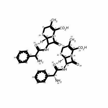 CC1=C(C(=O)O)N2C(=O)C(NC(=O)C(N)c3ccccc3)[C@@H]2SC1.CC1=C(C(=O)O)N2C(=O)[C@@H](NC(=O)[C@H](N)c3ccccc3)[C@H]2SC1